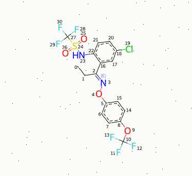 CC/C(=N\Oc1ccc(OC(F)(F)F)cc1)c1cc(Cl)ccc1NS(=O)(=O)C(F)(F)F